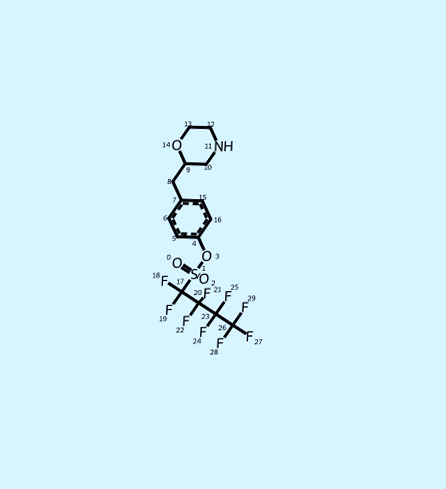 O=S(=O)(Oc1ccc(CC2CNCCO2)cc1)C(F)(F)C(F)(F)C(F)(F)C(F)(F)F